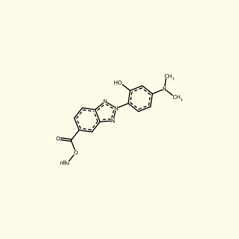 CCCCOC(=O)c1ccc2nn(-c3ccc(N(C)C)cc3O)nc2c1